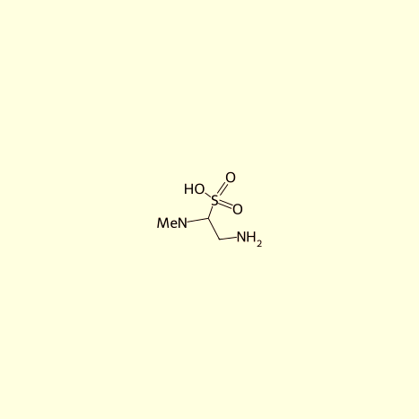 CNC(CN)S(=O)(=O)O